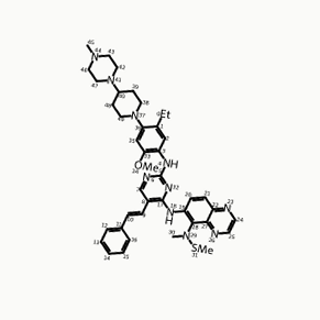 CCc1cc(Nc2ncc(/C=C/c3ccccc3)c(Nc3ccc4nccnc4c3N(C)SC)n2)c(OC)cc1N1CCC(N2CCN(C)CC2)CC1